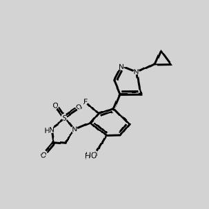 O=C1CN(c2c(O)ccc(-c3cnn(C4CC4)c3)c2F)S(=O)(=O)N1